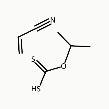 C=CC#N.CC(C)OC(=S)S